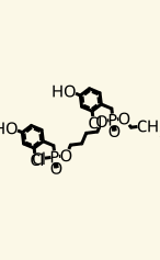 CCOP(=O)(Cc1ccc(O)cc1Cl)OCCCCOP(=O)(Cl)Cc1ccc(O)cc1Cl